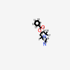 CC1(C)CC(OC(=O)c2ccccc2)CC(C)(C)N1CC#N